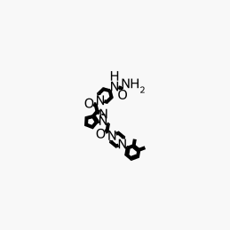 Cc1cccc(N2CCN(C(=O)Cn3nc(C(=O)N4CCC(NC(N)=O)CC4)c4c3CCC4)CC2)c1C